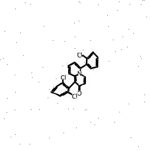 O=c1ccn2c(-c3ccccc3Cl)cccc2c1-c1c(Cl)cccc1Cl